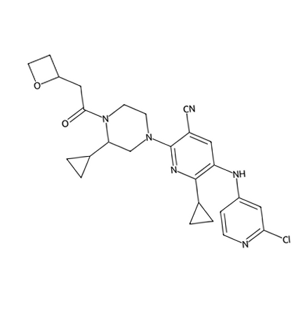 N#Cc1cc(Nc2ccnc(Cl)c2)c(C2CC2)nc1N1CCN(C(=O)CC2CCO2)C(C2CC2)C1